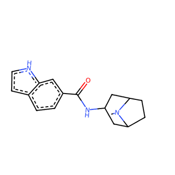 CN1C2CCC1CC(NC(=O)c1ccc3cc[nH]c3c1)C2